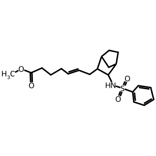 COC(=O)CCCC=CCC1C2CCC(C2)C1NS(=O)(=O)c1ccccc1